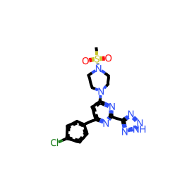 CS(=O)(=O)N1CCN(c2cc(-c3ccc(Cl)cc3)nc(-c3nn[nH]n3)n2)CC1